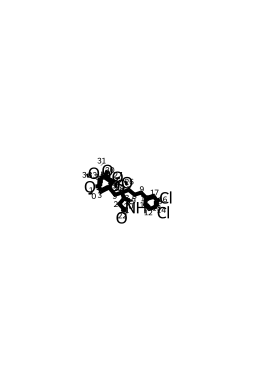 COc1cc(CC(CCCc2ccc(Cl)c(Cl)c2)(C2CNC(=O)C2)S(=O)(=O)O)cc(OC)c1OC